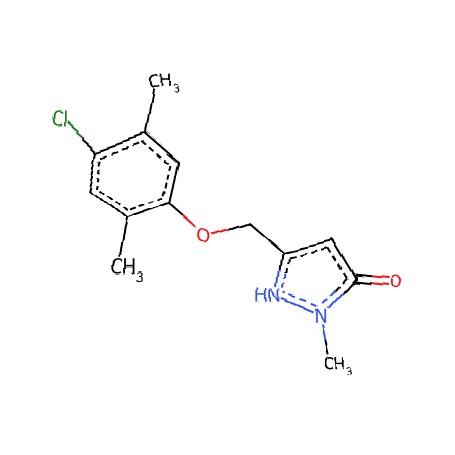 Cc1cc(OCc2cc(=O)n(C)[nH]2)c(C)cc1Cl